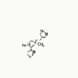 CC1(C=Cc2cncnc2)C=C[N]([Fe])C(c2ccccn2)=C1